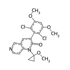 COc1cc(OC)c(Cl)c(-c2cc3cnccc3n(C3(OC)CC3)c2=O)c1Cl